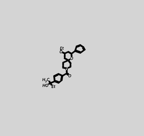 CCOC1CC(c2ccccc2)OC2(CCN(C(=O)c3ccc(C(C)(O)CC)cc3)CC2)C1